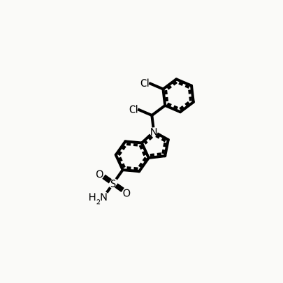 NS(=O)(=O)c1ccc2c(ccn2C(Cl)c2ccccc2Cl)c1